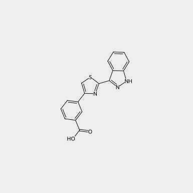 O=C(O)c1cccc(-c2csc(-c3n[nH]c4ccccc34)n2)c1